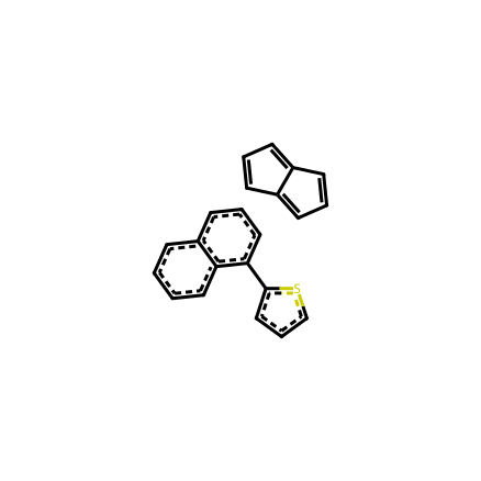 C1=CC2=CC=CC2=C1.c1csc(-c2cccc3ccccc23)c1